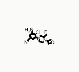 N#Cc1cc(N)c(Cl)c(N2CCN(C3COC3)C(CF)C2)c1